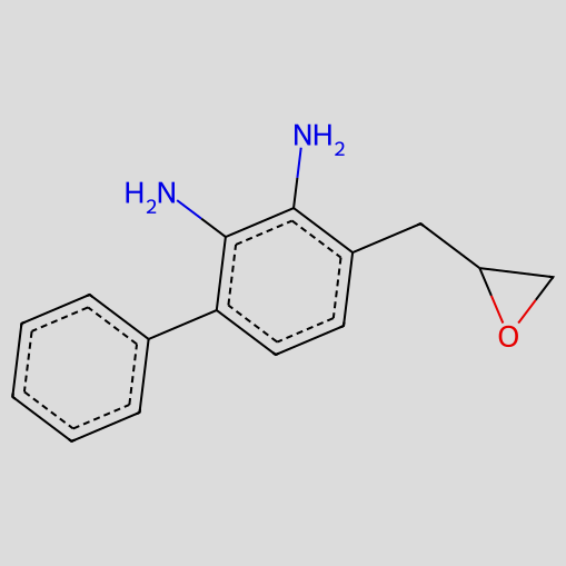 Nc1c(CC2CO2)ccc(-c2ccccc2)c1N